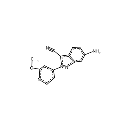 COc1cc(-n2nc3cc(N)ccc3c2C#N)ccn1